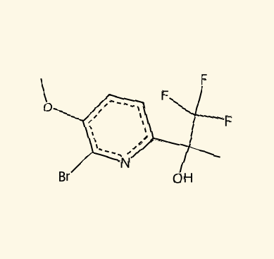 COc1ccc(C(C)(O)C(F)(F)F)nc1Br